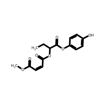 CCC(OC(=O)/C=C\C(=O)OC)C(=O)Oc1ccc(O)cc1